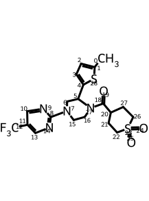 Cc1ccc(C2CN(c3ncc(C(F)(F)F)cn3)CCN2C(=O)C2CCS(=O)(=O)CC2)s1